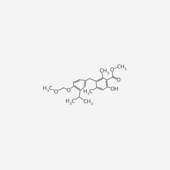 COCOc1ccc(Cc2c(C)cc(O)c(C(=O)OC)c2C)cc1C(C)C